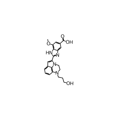 COc1cc(C(=O)O)cc2nc(-c3cc4cccc5c4n3CCN5CCCO)[nH]c12